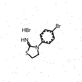 Br.N=C1SCCN1c1ccc(Br)cc1